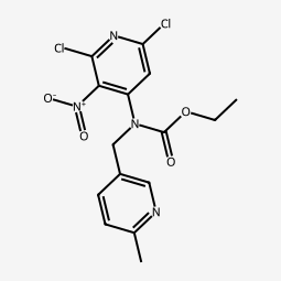 CCOC(=O)N(Cc1ccc(C)nc1)c1cc(Cl)nc(Cl)c1[N+](=O)[O-]